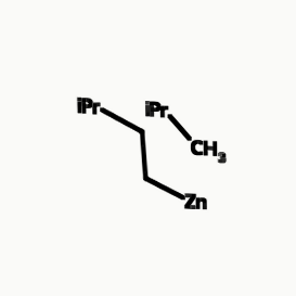 CC(C)C.CC(C)C[CH2][Zn]